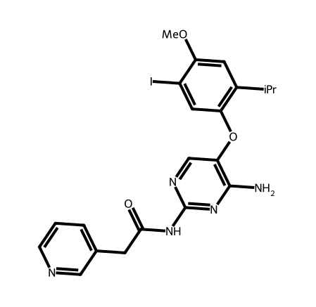 COc1cc(C(C)C)c(Oc2cnc(NC(=O)Cc3cccnc3)nc2N)cc1I